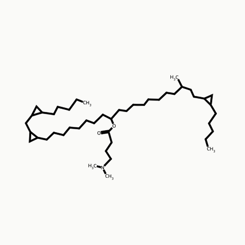 CCCCCC1CC1CCC(C)CCCCCCCCC(CCCCCCCCC1CC1CC1CC1CCCCC)OC(=O)CCCN(C)C